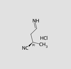 C[C@@H](C#N)CC=N.Cl